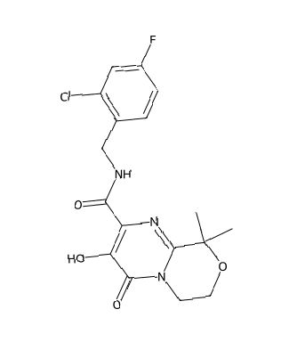 CC1(C)OCCn2c1nc(C(=O)NCc1ccc(F)cc1Cl)c(O)c2=O